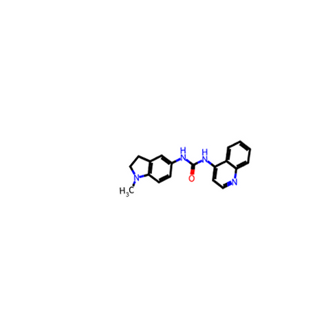 CN1CCc2cc(NC(=O)Nc3ccnc4ccccc34)ccc21